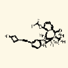 [2H]C([2H])([2H])N1C(=O)c2cccc(OC(F)F)c2[C@H]2C[C@@H]1c1nc3ccc(C#CC4CC(O)C4)cc3n12